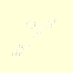 Fc1ccc(C(OCCCCc2c[nH]cn2)c2ccccc2)cc1